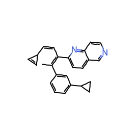 C/C(=C(\C=C/C1C=C1)c1ccc2cnccc2n1)c1cccc(C2CC2)c1